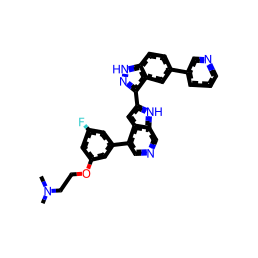 CN(C)CCOc1cc(F)cc(-c2cncc3[nH]c(-c4n[nH]c5ccc(-c6cccnc6)cc45)cc23)c1